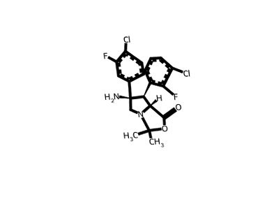 CC1(C)OC(=O)[C@H]2[C@H](c3cccc(Cl)c3F)[C@@](N)(c3ccc(Cl)c(F)c3)CN21